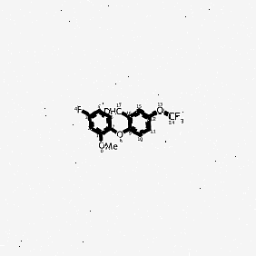 COc1cc(F)ccc1Oc1ccc(OC(F)(F)F)cc1C=O